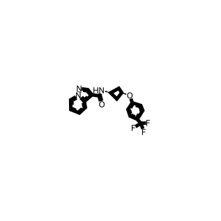 O=C(N[C@H]1C[C@@H](Oc2ccc(C(F)(F)F)cc2)C1)c1cnn2ccccc12